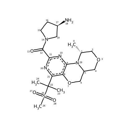 C[C@@H]1COCC2COc3c(nc(C(=O)N4CC[C@@H](N)C4)nc3C(C)(C)S(C)(=O)=O)N21